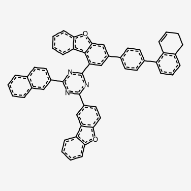 C1=Cc2c(cccc2-c2ccc(-c3cc(-c4nc(-c5ccc6ccccc6c5)nc(-c5ccc6oc7ccccc7c6c5)n4)c4c(c3)oc3ccccc34)cc2)CC1